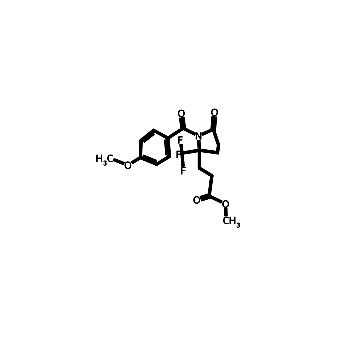 COC(=O)CCC1(C(F)(F)F)CCC(=O)N1C(=O)c1ccc(OC)cc1